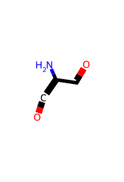 NC(=C=O)C=O